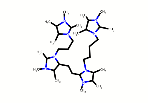 CC1C(C)N(CCCCN2C(C)C(C)N(C)C2CCC2C(C)N(C)C(C)N2CCCN2C(C)C(C)N(C)C2C)C(C)N1C